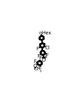 CCCCCCc1ccc(-c2cc(F)c(-c3cc(F)c(C(F)(F)Oc4cc(F)c(OC(F)(F)F)c(F)c4)c(F)c3)c(Cl)c2)cc1